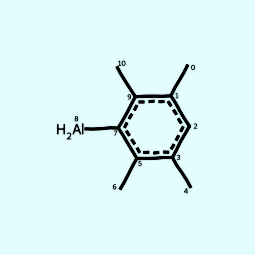 Cc1cc(C)c(C)[c]([AlH2])c1C